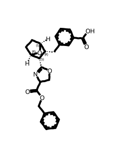 O=C(O)c1cccc(C[C@@H]2[C@H](C3=NC(C(=O)OCc4ccccc4)CO3)[C@H]3CC[C@@H]2O3)c1